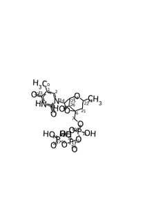 Cc1cn(C2OC3(COP(=O)(O)OP(=O)(O)OP(=O)(O)O)CC(C)OC2C3O)c(=O)[nH]c1=O